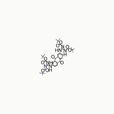 CC(C)(C)OC(=O)/N=C(/NC(=O)OC(C)(C)C)Nc1ccc2c(c1)C(=O)c1cc(N/C(=N\C(=O)OC(C)(C)C)NC(=O)OC(C)(C)C)ccc1C2=O